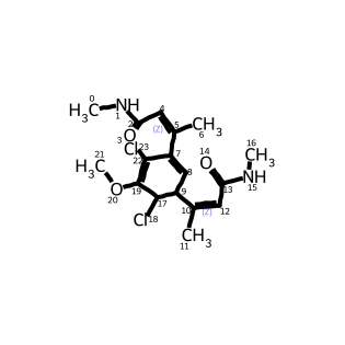 CNC(=O)/C=C(/C)C1=CC(/C(C)=C\C(=O)NC)C(Cl)C(OC)=C1Cl